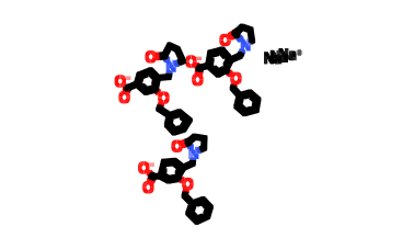 O=C([O-])c1ccc(CN2CCCC2=O)c(OCc2ccccc2)c1.O=C([O-])c1ccc(CN2CCCC2=O)c(OCc2ccccc2)c1.O=C([O-])c1ccc(CN2CCCC2=O)c(OCc2ccccc2)c1.[Na+].[Na+].[Na+]